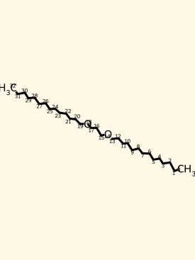 CCCCCCCCCCCCCCOCCCOCCCCCCCCCCCCCC